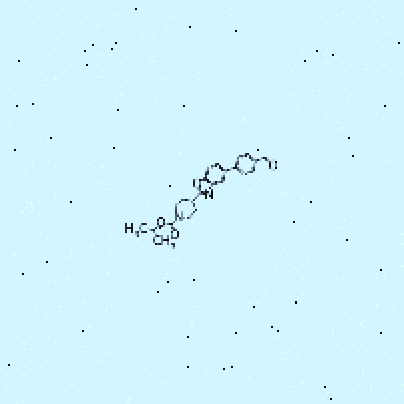 CC(C)OC(=O)N1CCC(c2nc3cc(-c4ccc(C=O)cc4)ccc3o2)CC1